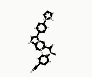 CN(C(=O)c1cn2c(-c3ccc(-n4cccn4)cc3)cnc2cn1)c1ccc(C#N)cc1